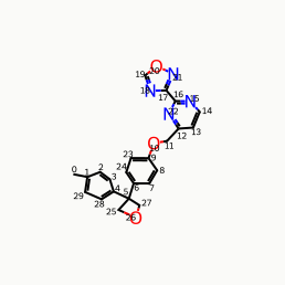 Cc1ccc(C2(c3ccc(OCc4ccnc(-c5ncon5)n4)cc3)COC2)cc1